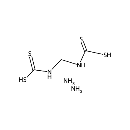 N.N.S=C(S)NCNC(=S)S